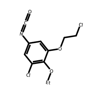 CCOc1c(Cl)cc(N=C=O)cc1OCCCl